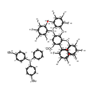 CC(C)(C)c1ccc([S+](c2ccccc2)c2ccc(C(C)(C)C)cc2)cc1.O=C([O-])c1cc(Oc2c(F)c(F)c(F)c(F)c2F)c(Oc2c(F)c(F)c(F)c(F)c2F)c(Oc2c(F)c(F)c(F)c(F)c2F)c1-c1c(F)c(F)c(F)c(F)c1F